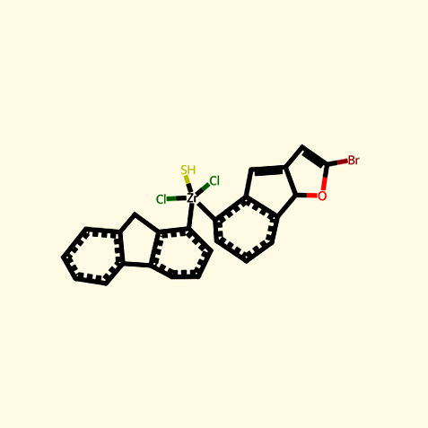 [SH][Zr]([Cl])([Cl])([c]1cccc2c1C=C1C=C(Br)OC12)[c]1cccc2c1Cc1ccccc1-2